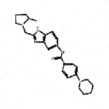 CC1CCCN1Cc1nc2cc(NC(=O)c3ccc(N4CCCCC4)cc3)ccc2[nH]1